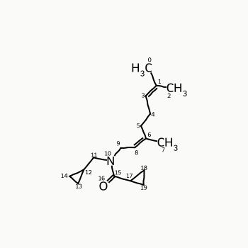 CC(C)=CCC/C(C)=C\CN(CC1CC1)C(=O)C1CC1